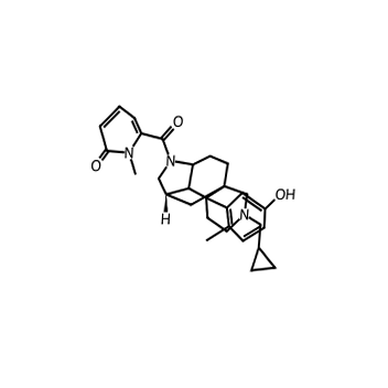 Cc1ccc(O)cc1C12CCN(CC3CC3)CC13CCC1C2[C@@H](CN1C(=O)c1cccc(=O)n1C)C3